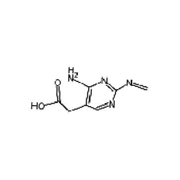 C=Nc1ncc(CC(=O)O)c(N)n1